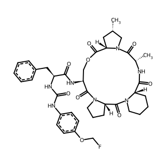 C[C@H]1C[C@H]2C(=O)OC[C@H](NC(=O)[C@H](Cc3ccccc3)NC(=O)Nc3ccc(OCF)cc3)C(=O)N3CCC[C@H]3C(=O)N3CCCC[C@H]3C(=O)N[C@@H](C)C(=O)N2C1